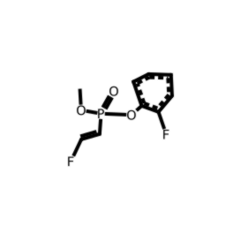 COP(=O)(C=CF)Oc1ccccc1F